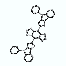 c1ccc(-n2c3ccccc3c3sc(-c4c5c(c(-c6cc7c(s6)c6ccccc6n7-c6ccccc6)c6nsnc46)N=S=N5)cc32)cc1